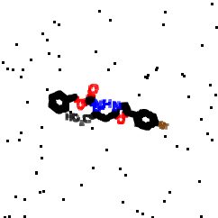 O=C(NC(Cc1ncc(-c2ccc(Br)cc2)o1)C(=O)O)OCc1ccccc1